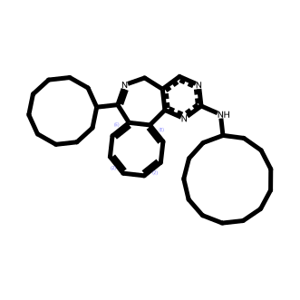 C1=C\C=C2\C(C3CCCCCCCCC3)=NCc3cnc(NC4CCCCCCCCCCCC4)nc3\C2=C\C=C/1